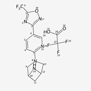 FC(F)(F)c1nc(-c2ccc(N3CC4CC(C3)N4)nc2)no1.O=C(O)C(F)(F)F